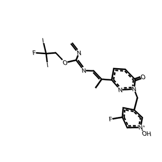 C=N/C(=N\C=C(/C)c1ccc(=O)n(Cc2cc(F)c[n+](O)c2)n1)OCC(F)(I)I